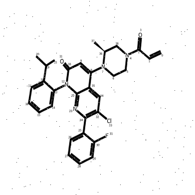 C=CC(=O)N1CCN(c2cc(=O)n(-c3ccccc3C(C)C)c3nc(-c4ccccc4F)c(Cl)cc23)[C@@H](C)C1